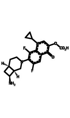 N[C@H]1C[C@H]2CCN(c3c(F)cc4c(=O)c(OC(=O)O)cn(C5CC5)c4c3F)C[C@H]21